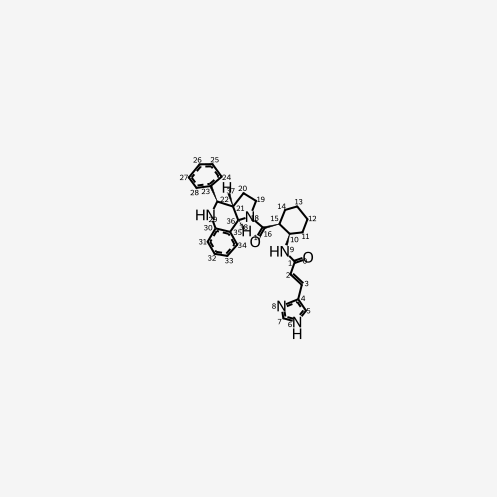 O=C(/C=C/c1c[nH]cn1)N[C@@H]1CCCC[C@@H]1C(=O)N1CC[C@H]2[C@H](c3ccccc3)Nc3ccccc3[C@@H]21